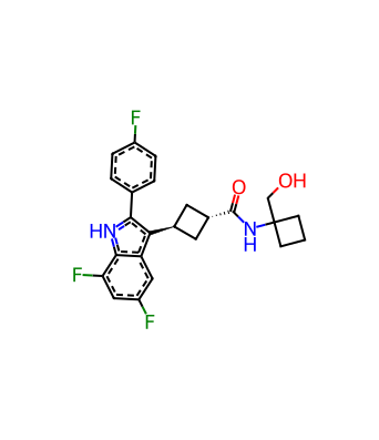 O=C(NC1(CO)CCC1)[C@H]1C[C@H](c2c(-c3ccc(F)cc3)[nH]c3c(F)cc(F)cc32)C1